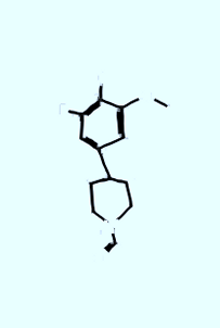 COc1cc(C2CCN(C=O)CC2)cc(F)c1Cl